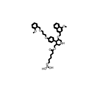 COc1ccccc1COCCCOc1ccc(C2C(COC(=O)CCCCCON(O)O)CNCC2OCc2cc(OC)c3ccccc3c2)cc1